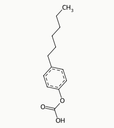 CCCCCCc1ccc(OC(=O)O)cc1